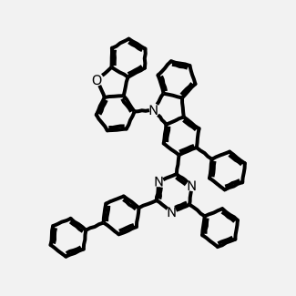 c1ccc(-c2ccc(-c3nc(-c4ccccc4)nc(-c4cc5c(cc4-c4ccccc4)c4ccccc4n5-c4cccc5oc6ccccc6c45)n3)cc2)cc1